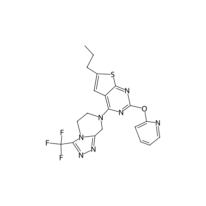 CCCc1cc2c(N3CCn4c(nnc4C(F)(F)F)C3)nc(Oc3ccccn3)nc2s1